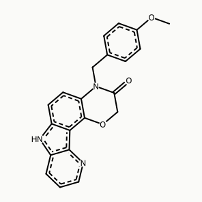 COc1ccc(CN2C(=O)COc3c2ccc2[nH]c4cccnc4c32)cc1